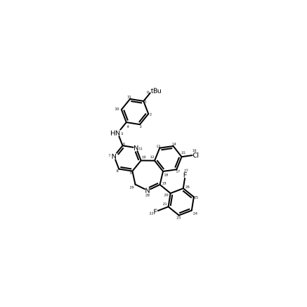 CC(C)(C)c1ccc(Nc2ncc3c(n2)-c2ccc(Cl)cc2C(c2c(F)cccc2F)=NC3)cc1